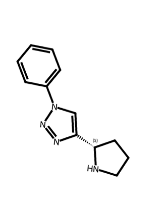 c1ccc(-n2cc([C@@H]3CCCN3)nn2)cc1